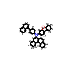 c1ccc2c(-c3ccc(N(c4ccc5c(c4)oc4ccccc45)c4cc5ccccc5c5c4ccc4ccccc45)cc3)cccc2c1